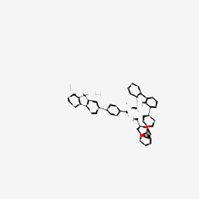 CC1(C)c2ccccc2-c2ccc(-c3ccc(-c4nc(-c5ccccc5)nc(-n5c6ccccc6c6cccc(-c7ccc(-c8ccccc8)cc7)c65)n4)cc3)cc21